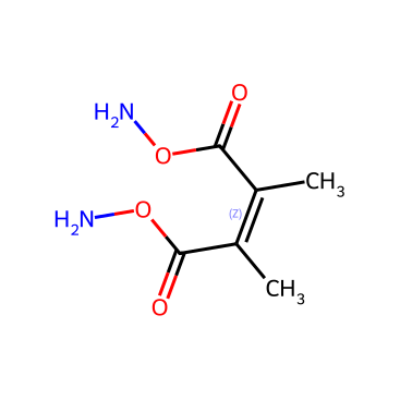 C/C(C(=O)ON)=C(\C)C(=O)ON